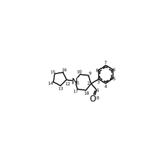 O=CC1(c2ccccc2)CCN(C2CCCC2)CC1